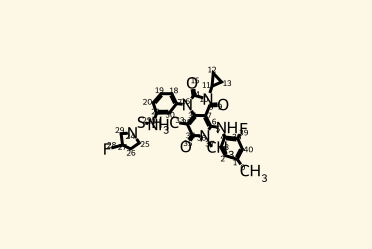 Cc1ccc(Nc2c3c(=O)n(C4CC4)c(=O)n(-c4cccc(NSN5CCC(F)C5)c4)c3c(C)c(=O)n2C)c(F)c1